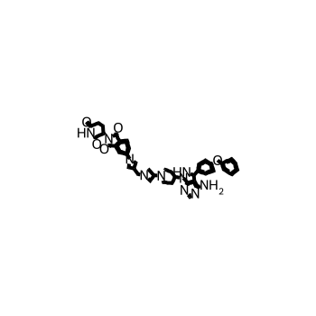 Nc1ncnc2c1C(c1ccc(Oc3ccccc3)cc1)NN2C1CCN(C2CN(CC3CN(c4ccc5c(c4)C(=O)N(C4CCC(=O)NC4=O)C5=O)C3)C2)CC1